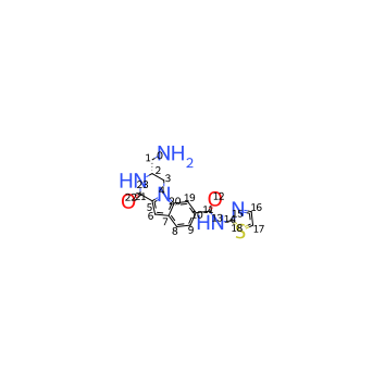 NC[C@@H]1Cn2c(cc3ccc(C(=O)Nc4nccs4)cc32)C(=O)N1